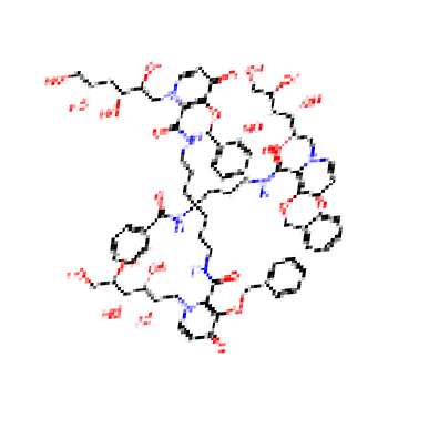 O=C(NC(CCCNC(=O)c1c(OCc2ccccc2)c(=O)ccn1C[C@H](O)[C@@H](O)[C@H](O)[C@H](O)CO)(CCCNC(=O)c1c(OCc2ccccc2)c(=O)ccn1C[C@H](O)[C@@H](O)[C@H](O)[C@H](O)CO)CCCNC(=O)c1c(OCc2ccccc2)c(=O)ccn1C[C@H](O)[C@@H](O)C[C@H](O)CO)c1ccccc1